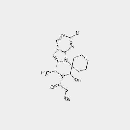 CC1c2cc3cnc(Cl)nc3n2C2(CCCCC2)C(O)N1C(=O)OC(C)(C)C